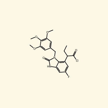 CCC(C(=O)Cl)c1cc(F)cc2[nH]c(=O)n(Cc3cc(OC)c(OC)c(OC)c3)c12